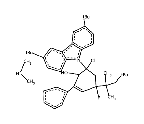 CC(C)(C)CC(C)(C)C1(F)C=C(c2ccccc2)C(O)C(Cl)(n2c3ccc(C(C)(C)C)cc3c3cc(C(C)(C)C)ccc32)C1.[CH3][Hf][CH3]